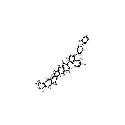 c1ccc(-c2ccc(-c3ccc(-c4ccc5cc6c(cc5c4)sc4c5cc7ccccc7cc5sc64)c4ccccc34)cc2)cc1